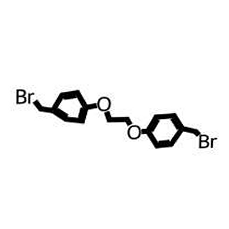 BrCc1ccc(OCCOc2ccc(CBr)cc2)cc1